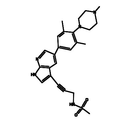 Cc1cc(-c2cnc3[nH]cc(C#CCNS(C)(=O)=O)c3c2)cc(C)c1N1CCN(C)CC1